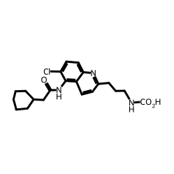 O=C(O)NCCCc1ccc2c(NC(=O)CC3CCCCC3)c(Cl)ccc2n1